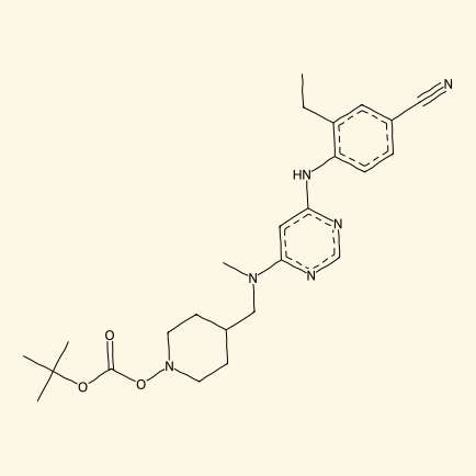 CCc1cc(C#N)ccc1Nc1cc(N(C)CC2CCN(OC(=O)OC(C)(C)C)CC2)ncn1